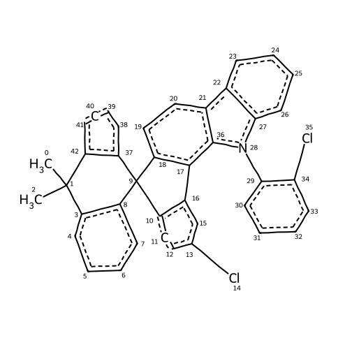 CC1(C)c2ccccc2C2(c3ccc(Cl)cc3-c3c2ccc2c4ccccc4n(-c4ccccc4Cl)c32)c2ccccc21